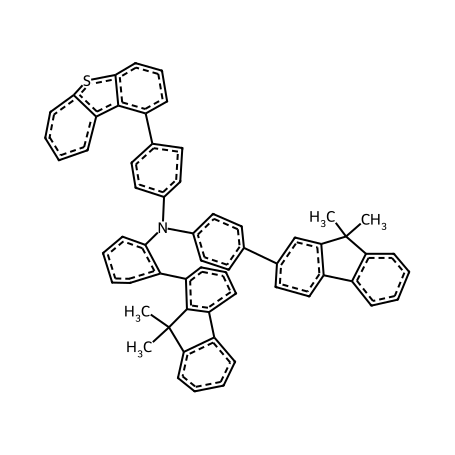 CC1(C)c2ccccc2-c2ccc(-c3ccc(N(c4ccc(-c5cccc6sc7ccccc7c56)cc4)c4ccccc4-c4cccc5c4C(C)(C)c4ccccc4-5)cc3)cc21